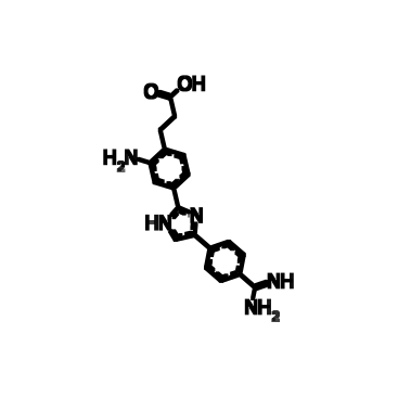 N=C(N)c1ccc(-c2c[nH]c(-c3ccc(CCC(=O)O)c(N)c3)n2)cc1